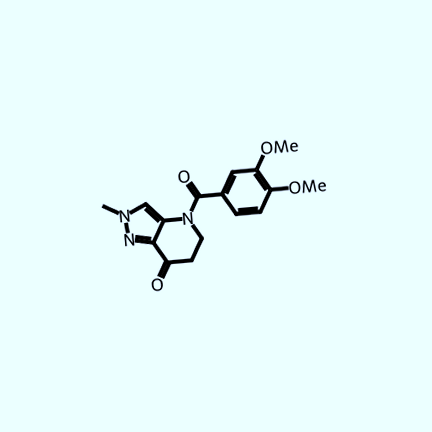 COc1ccc(C(=O)N2CCC(=O)c3nn(C)cc32)cc1OC